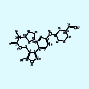 C=C(OCc1c(-c2cnc(OC3CCC[C@H](C=O)C3)cn2)noc1C)N(C)C1CCCC1